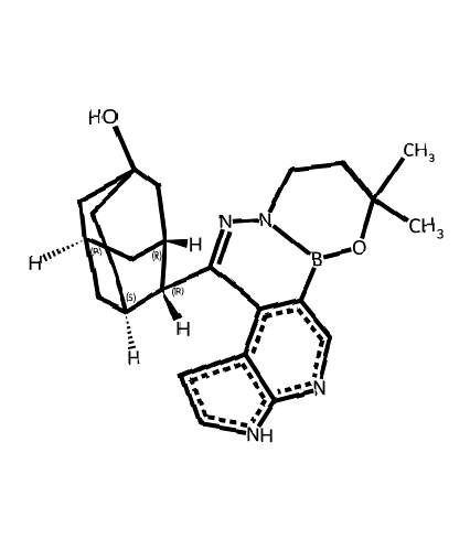 CC1(C)CCN2N=C([C@H]3[C@@H]4C[C@H]5C[C@H]3CC(O)(C5)C4)c3c(cnc4[nH]ccc34)B2O1